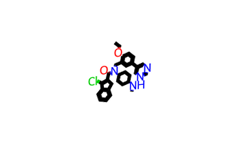 CCOc1ccc(-c2cncnc2)cc1CN(C(=O)C1=C(Cl)c2ccccc2C1)[C@H]1CC[C@H](NC)CC1